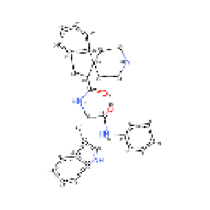 O=C(N[C@@H](Cc1c[nH]c2ccccc12)C(=O)Nc1ccccc1)C1Cc2ccccc2C12CCNCC2